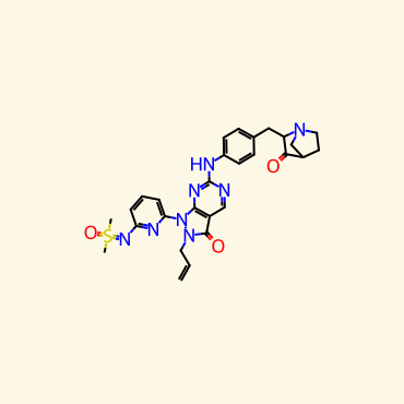 C=CCn1c(=O)c2cnc(Nc3ccc(CC4C(=O)C5CCN4C5)cc3)nc2n1-c1cccc(N=S(C)(C)=O)n1